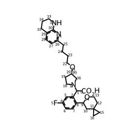 O=C(O)C(c1cc(F)ccc1C1CC2(CCO1)CC2)N1CC[C@@H](OCCCCc2ccc3c(n2)NCCC3)C1